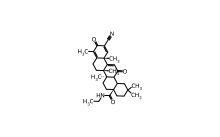 CCNC(=O)[C@]12CCC(C)(C)CC1C1C(=O)C=C3[C@@]4(C)C=C(C#N)C(=O)C(C)=C4CC[C@@]3(C)[C@]1(C)CC2